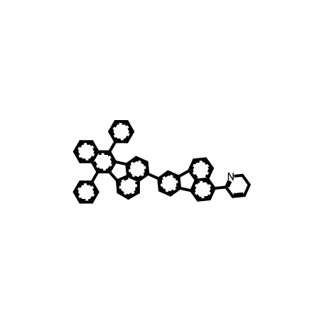 C1=CC(c2ccc3c4c(cccc24)-c2cc(-c4ccc5c6c(cccc46)-c4c-5c(-c5ccccc5)c5ccccc5c4-c4ccccc4)ccc2-3)=NCC1